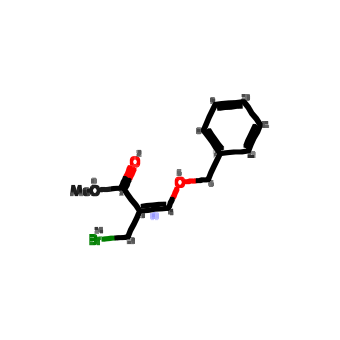 COC(=O)/C(=C\OCc1ccccc1)CBr